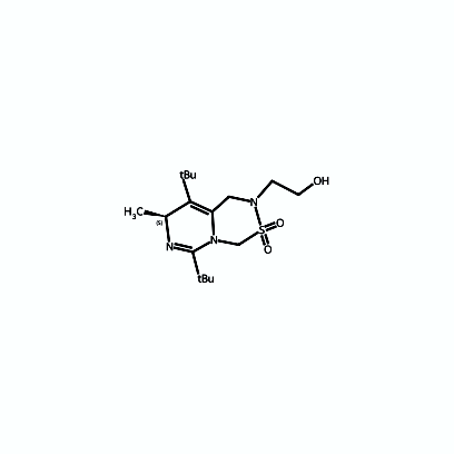 C[C@@H]1N=C(C(C)(C)C)N2CS(=O)(=O)N(CCO)CC2=C1C(C)(C)C